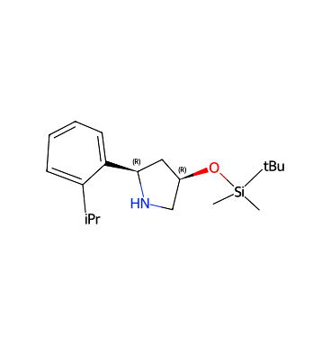 CC(C)c1ccccc1[C@H]1C[C@@H](O[Si](C)(C)C(C)(C)C)CN1